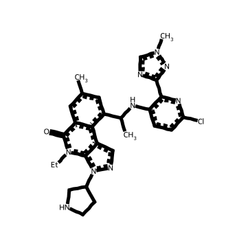 CCn1c(=O)c2cc(C)cc(C(C)Nc3ccc(Cl)nc3-c3ncn(C)n3)c2c2cnn(C3CCNC3)c21